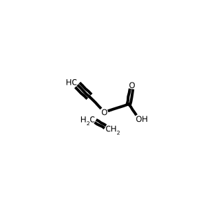 C#COC(=O)O.C=C